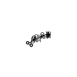 O=C(CCc1nncnn1)NCCCC[C@H](NC(=O)OCC1c2ccccc2-c2ccccc21)C(=O)O